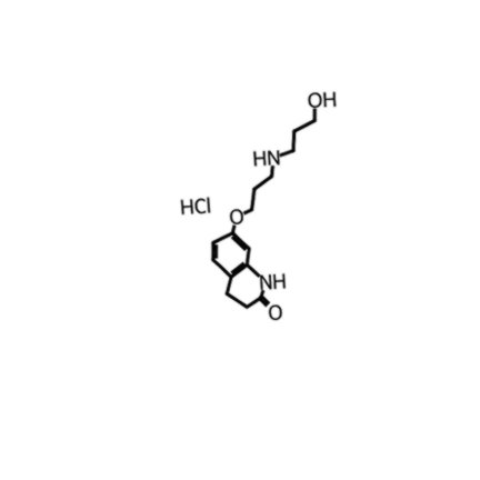 Cl.O=C1CCc2ccc(OCCCNCCCO)cc2N1